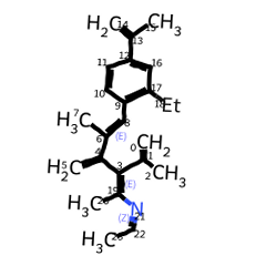 C=C(C)/C(C(=C)/C(C)=C/c1ccc(C(=C)C)cc1CC)=C(C)\N=C/C